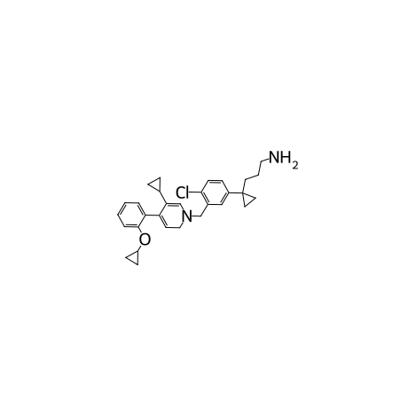 NCCCC1(c2ccc(Cl)c(CN3C=C(C4CC4)C(c4ccccc4OC4CC4)=CC3)c2)CC1